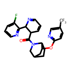 O=C(C1C=CC=NC1c1ncccc1F)N1CC2CCC1C(Oc1ccc(C(F)(F)F)cn1)C2